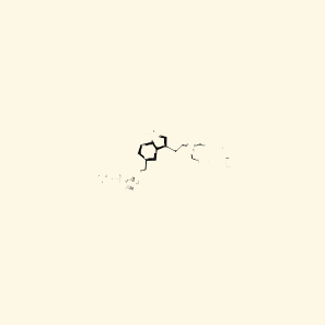 CCOC(=O)CN(CCc1c[nH]c2ccc(COS(=O)(=O)NC)cc12)CC(=O)OCC